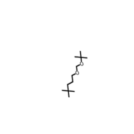 CC(C)(C)CCCOCOC(C)(C)C